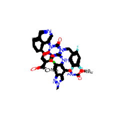 COC(=O)c1cccc(-c2cccc3cncc(-n4c(=O)nc(Nc5c(Cl)cc6nn(C)cc6c5CNC(=O)OC(C)(C)C)n(Cc5cc(F)c(F)cc5F)c4=O)c23)c1